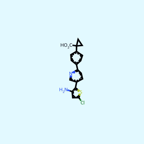 Nc1cc(Cl)sc1-c1ccc(-c2ccc(C3(C(=O)O)CC3)cc2)nc1